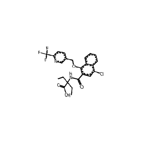 CCC(CC)(NC(=O)c1cc(Cl)c2ccccc2c1OCc1ccc(C(F)(F)F)nc1)C(=O)O